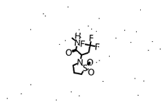 CNC(=O)C(CC(F)(F)F)N1CCCS1(=O)=O